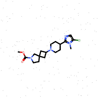 COC(=O)N1CCC2(CC(N3CCC(c4ncc(Cl)n4C)CC3)C2)C1